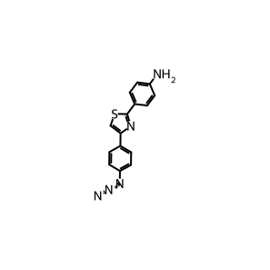 [N-]=[N+]=Nc1ccc(-c2csc(-c3ccc(N)cc3)n2)cc1